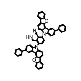 N#Cc1c(-n2c3ccc(-c4ccccc4)cc3c3c4oc5ccccc5c4ccc32)ccc(-n2c3ccc(-c4ccccc4)cc3c3c4oc5ccccc5c4ccc32)c1C=N